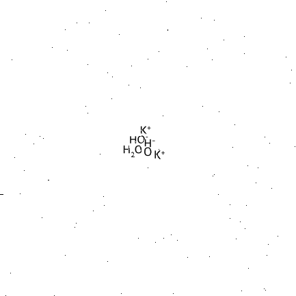 O.[K+].[K+].[OH-].[OH-]